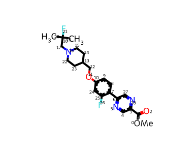 COC(=O)c1cnc(-c2ccc(OCC3CCN(CC(C)(C)F)CC3)cc2F)cn1